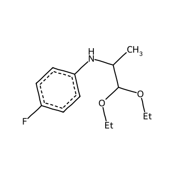 CCOC(OCC)C(C)Nc1ccc(F)cc1